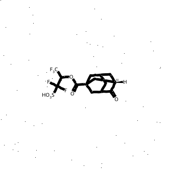 O=C1C2CC3C[C@H]1CC(C(=O)OC(C(F)(F)F)C(F)(F)S(=O)(=O)O)(C3)C2